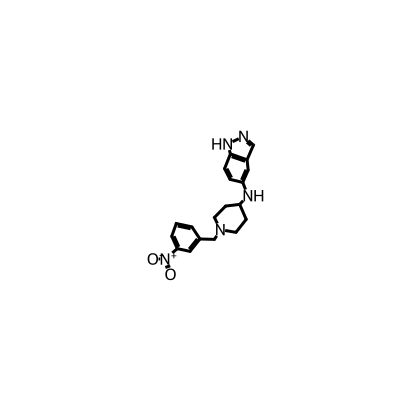 O=[N+]([O-])c1cccc(CN2CCC(Nc3ccc4[nH]ncc4c3)CC2)c1